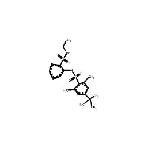 CCNS(=O)(=O)c1ccccc1NS(=O)(=O)c1c(C)cc(C(C)(C)C)cc1C